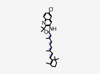 CC1=C(/C=C/C(C)=C/C=C/C(C)=C/C2Nc3cc4cc(Cl)ccc4nc3C(C)(C)O2)C(C)(C)CCC1